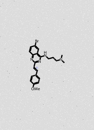 COc1ccc(/C=C/c2nc(NCCCN(C)C)c3cc(Br)ccc3n2)cc1